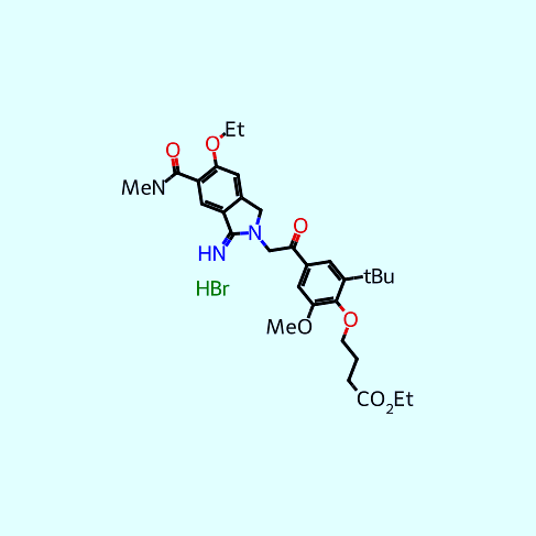 Br.CCOC(=O)CCCOc1c(OC)cc(C(=O)CN2Cc3cc(OCC)c(C(=O)NC)cc3C2=N)cc1C(C)(C)C